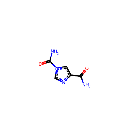 NC(=O)c1cn(C(N)=O)cn1